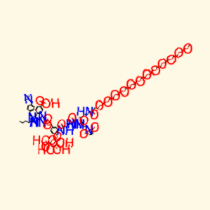 CCCCc1nc2c(NC(=O)OCc3ccc(O[C@@H]4O[C@H](C(=O)O)[C@@H](O)[C@H](O)[C@H]4O)c(NC(=O)CCNC(=O)[C@H](CCCCNC(=O)CCOCCOCCOCCOCCOCCOCCOCCOCCOCCOCCOCCOC)NC(=O)CCN4C(=O)C=CC4=O)c3)nc3cc(C(=O)O)ccc3c2n1Cc1ccc(CN(C)C)cc1